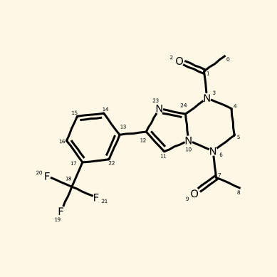 CC(=O)N1CCN(C(C)=O)n2cc(-c3cccc(C(F)(F)F)c3)nc21